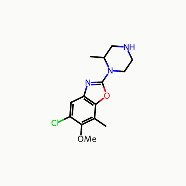 COc1c(Cl)cc2nc(N3CCNCC3C)oc2c1C